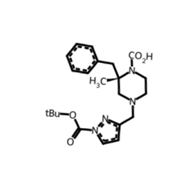 CC(C)(C)OC(=O)n1ccc(CN2CCN(C(=O)O)[C@@](C)(Cc3ccccc3)C2)n1